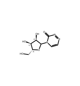 O=c1nnccn1C1O[C@H](CO)[C@@H](O)[C@H]1O